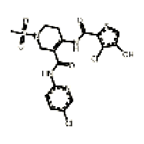 CS(=O)(=O)N1CCC(NC(=O)c2scc(O)c2Cl)=C(C(=O)Nc2ccc(Cl)cn2)C1